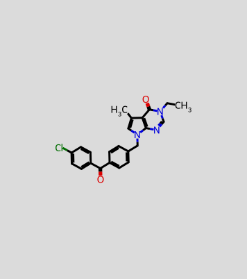 CCn1cnc2c(c(C)cn2Cc2ccc(C(=O)c3ccc(Cl)cc3)cc2)c1=O